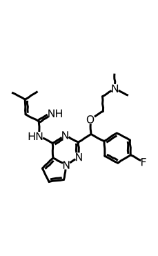 CC(C)=CC(=N)Nc1nc(C(OCCN(C)C)c2ccc(F)cc2)nn2cccc12